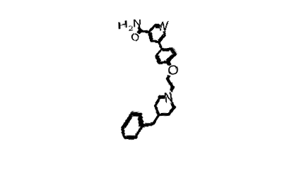 NC(=O)c1cncc(-c2ccc(OCCN3CCC(Cc4ccccc4)CC3)cc2)c1